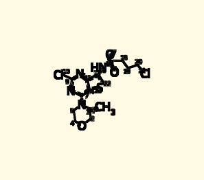 C[C@@H]1COCCN1c1nc(Cl)nc2c(NS(=O)(=O)CCCCl)csc12